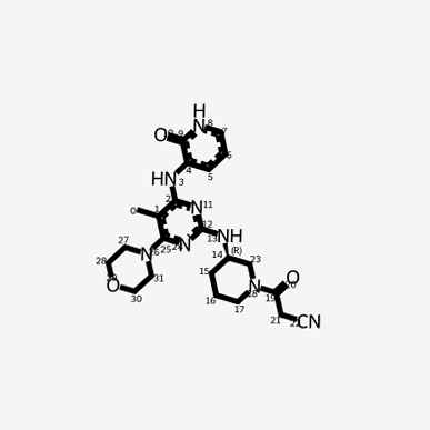 Cc1c(Nc2ccc[nH]c2=O)nc(N[C@@H]2CCCN(C(=O)CC#N)C2)nc1N1CCOCC1